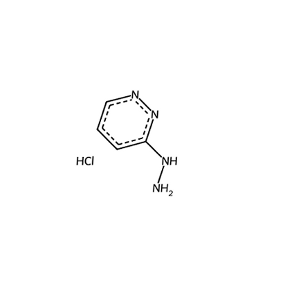 Cl.NNc1cccnn1